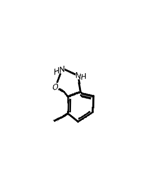 Cc1cccc2c1ONN2